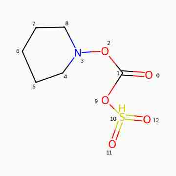 O=C(ON1CCCCC1)O[SH](=O)=O